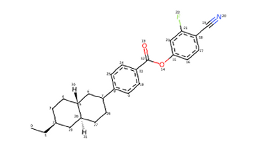 CC[C@H]1CC[C@@H]2CC(c3ccc(C(=O)Oc4ccc(C#N)c(F)c4)cc3)CC[C@H]2C1